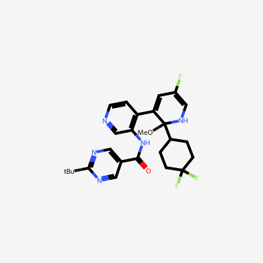 COC1(C2CCC(F)(F)CC2)NC=C(F)C=C1c1ccncc1NC(=O)c1cnc(C(C)(C)C)nc1